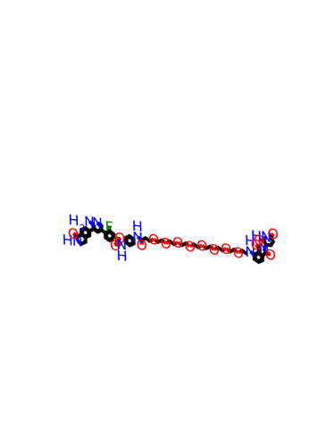 Nc1ncc(-c2ccc(S(=O)(=O)Nc3ccc(NC(=O)CCOCCOCCOCCOCCOCCOCCOCCOCCNc4cccc5c4C(=O)N(C4CCC(=O)NC4=O)C5=O)cc3)cc2F)cc1-c1ccc2c(c1)CCNC2=O